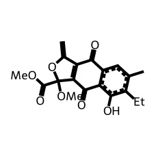 C=C1OC(OC)(C(=O)OC)C2=C1C(=O)c1cc(C)c(CC)c(O)c1C2=O